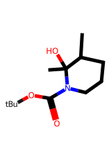 CC1CCCN(C(=O)OC(C)(C)C)C1(C)O